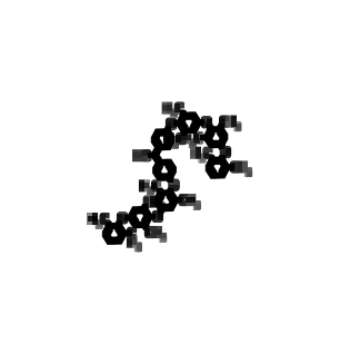 Cc1cccc(C)c1Oc1cc(C)c(Oc2cc(C)c(Oc3ccc(C(O)c4ccc(Oc5c(C)cc(Oc6c(C)cc(Oc7c(C)cccc7C)cc6C)cc5C)cc4)cc3)c(C)c2)c(C)c1